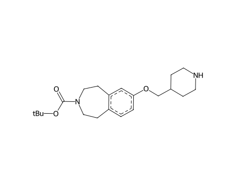 CC(C)(C)OC(=O)N1CCc2ccc(OCC3CCNCC3)cc2CC1